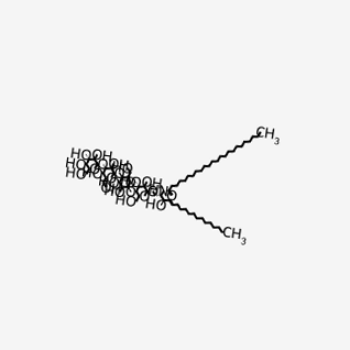 CCCCCCCCCCCCC/C=C/[C@@H](O)[C@H](CO[C@@H]1OC(CO)[C@@H](O[C@@H]2OC(CO)[C@H](O[C@@H]3OC(CO)[C@H](O)[C@H](O[C@@H]4OC(CO)[C@H](O)[C@H](O)C4O)C3O)[C@H](O)C2O)[C@H](O)C1O)NC(=O)CCCCCCCCCCCCCCCCCCCCCCC